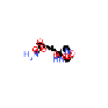 CC(/C=C/[C@@H]1C[C@]2(CO2)C[C@@H](CC(N)=O)O1)=C\C[C@@H]1O[C@H](C)[C@H](NC(=O)/C=C\[C@H](C)OC(=O)N2CCCCC2)C[C@@H]1C